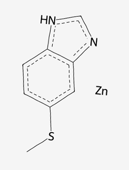 CSc1ccc2[nH]cnc2c1.[Zn]